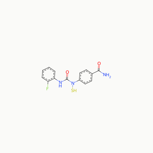 NC(=O)c1ccc(N(S)C(=O)Nc2ccccc2F)cc1